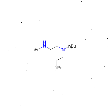 CCCCN(CCNC(C)C)CCC(C)C